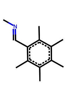 CN=Cc1c(C)c(C)c(C)c(C)c1C